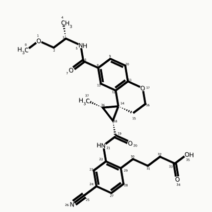 COC[C@H](C)NC(=O)c1ccc2c(c1)[C@@]1(CCO2)[C@H](C(=O)Nc2cc(C#N)ccc2CCCC(=O)O)[C@@H]1C